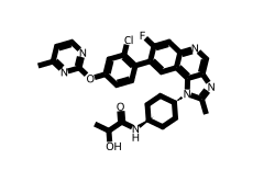 Cc1ccnc(Oc2ccc(-c3cc4c(cc3F)ncc3nc(C)n([C@H]5CC[C@H](NC(=O)C(C)O)CC5)c34)c(Cl)c2)n1